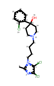 Cc1nc(Cl)c(Cl)n1CCCCN1CCC(O)(c2ccccc2Cl)CC1